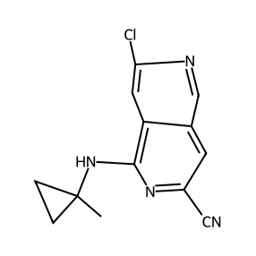 CC1(Nc2nc(C#N)cc3cnc(Cl)cc23)CC1